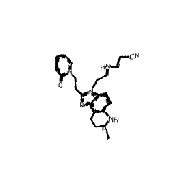 C[C@H]1CCc2c(ccc3c2nc(CCn2ccccc2=O)n3CCNCCC#N)N1